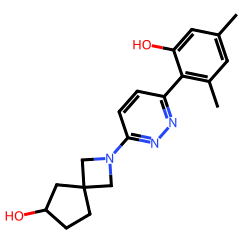 Cc1cc(C)c(-c2ccc(N3CC4(CCC(O)C4)C3)nn2)c(O)c1